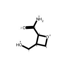 NC(=O)C1OC[C]1CO